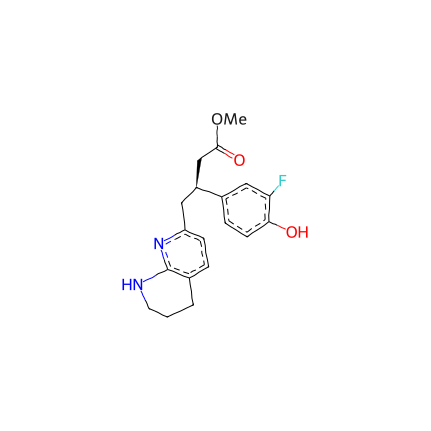 COC(=O)C[C@H](Cc1ccc2c(n1)NCCC2)c1ccc(O)c(F)c1